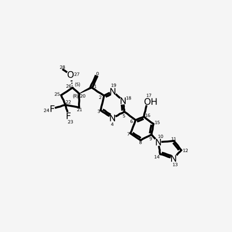 C=C(c1cnc(-c2ccc(-n3ccnc3)cc2O)nn1)[C@H]1CC(F)(F)C[C@@H]1OC